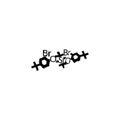 CC(C)(C)c1ccc(OC[Si](COc2ccc(C(C)(C)C)cc2Br)(C(C)(C)C)C(C)(C)C)c(Br)c1